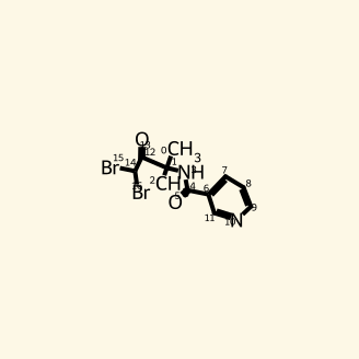 CC(C)(NC(=O)c1cccnc1)C(=O)C(Br)Br